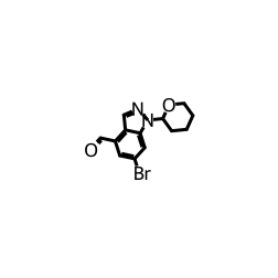 O=Cc1cc(Br)cc2c1cnn2C1CCCCO1